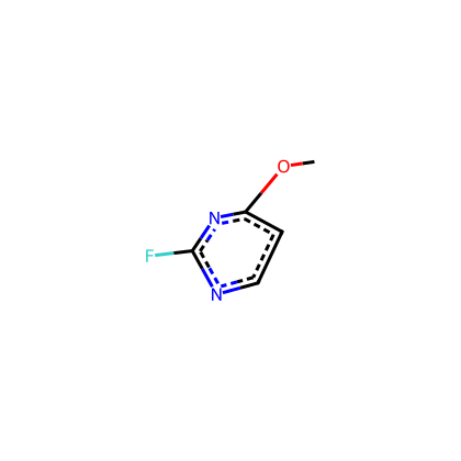 COc1ccnc(F)n1